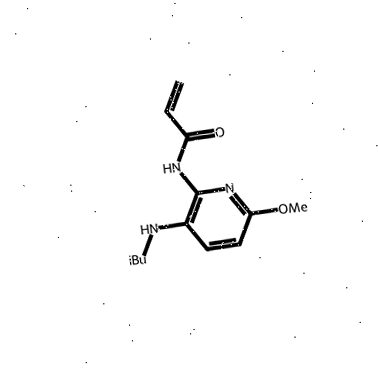 C=CC(=O)Nc1nc(OC)ccc1NC(C)CC